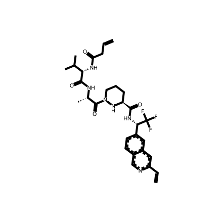 C=CCC(=O)N[C@H](C(=O)N[C@@H](C)C(=O)N1CCC[C@@H](C(=O)N[C@@H](c2ccc3cnc(C=C)cc3c2)C(F)(F)F)N1)C(C)C